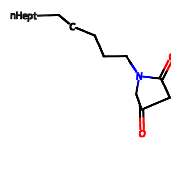 CCCCCCCCCCCCN1CC(=O)CC1=O